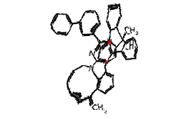 C=C1/C=C\C=C/CN(c2nc(-c3ccccc3)nc(-c3cccc(-c4ccccc4)c3)n2)c2c1cccc2-c1ccc2c(c1)C(C)(C)c1ccccc1-2